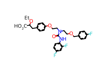 CCOC(Cc1ccc(OCCN(CCOCc2ccc(F)cc2)C(=O)Nc2ccc(F)cc2F)cc1)C(=O)O